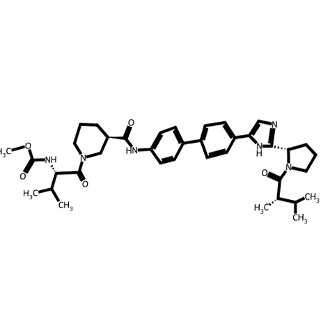 COC(=O)N[C@H](C(=O)N1CCC[C@@H](C(=O)Nc2ccc(-c3ccc(-c4cnc([C@@H]5CCCN5C(=O)[C@@H](C)C(C)C)[nH]4)cc3)cc2)C1)C(C)C